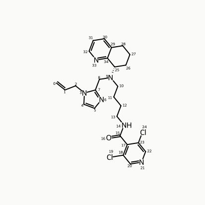 C=CCn1ccnc1CN(CCCCNC(=O)c1c(Cl)cncc1Cl)[C@H]1CCCc2cccnc21